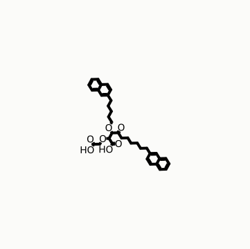 O=C(O)COC(C(=O)O)C(OCCCCCc1ccc2ccccc2c1)C(=O)CCCCCCc1ccc2ccccc2c1